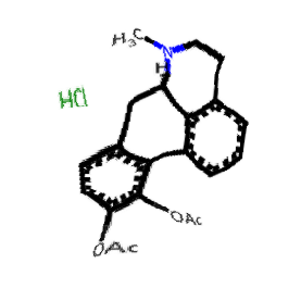 CC(=O)Oc1ccc2c(c1OC(C)=O)-c1cccc3c1[C@@H](C2)N(C)CC3.Cl